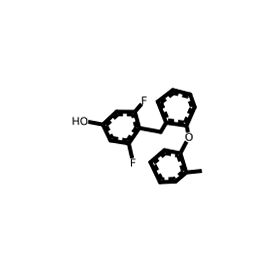 Cc1ccccc1Oc1ccccc1Cc1c(F)cc(O)cc1F